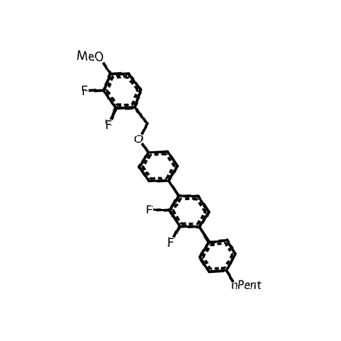 CCCCCc1ccc(-c2ccc(-c3ccc(OCc4ccc(OC)c(F)c4F)cc3)c(F)c2F)cc1